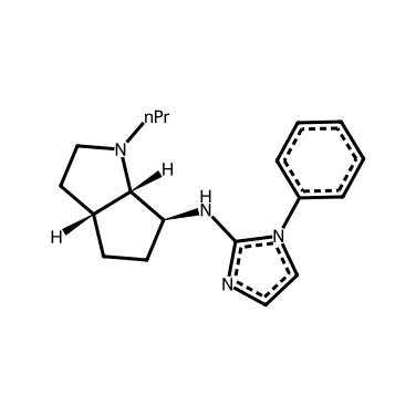 CCCN1CC[C@H]2CC[C@H](Nc3nccn3-c3ccccc3)[C@H]21